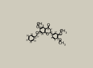 COc1ccc(C2CC(=O)c3cc(OC)c(OCc4ccccc4)cc3O2)cc1OC